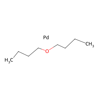 CCCCOCCCC.[Pd]